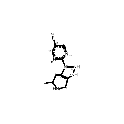 C[C@H]1CC2=C(CN1)NNN2c1ncc(F)cn1